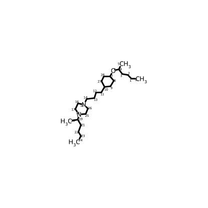 CCCCC(C)OC1CCC(CCCCN2CCN(C(C)CCCC)CC2)CC1